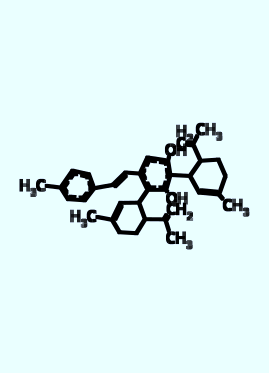 C=C(C)C1CCC(C)=CC1c1c(O)cc(/C=C/c2ccc(C)cc2)c(C2C=C(C)CCC2C(=C)C)c1O